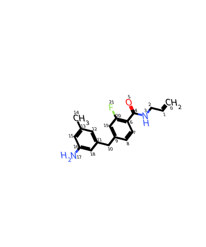 C=CCNC(=O)c1ccc(Cc2cc(C)cc(N)c2)cc1F